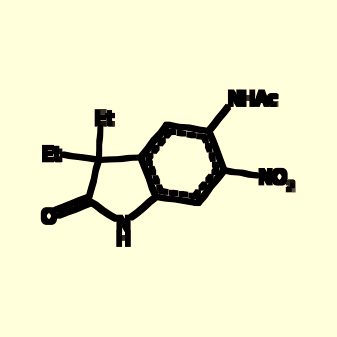 CCC1(CC)C(=O)Nc2cc([N+](=O)[O-])c(NC(C)=O)cc21